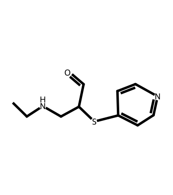 CCNCC(C=O)Sc1ccncc1